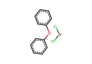 [Cl][Zr][Cl].[c]1ccccc1Oc1ccccc1